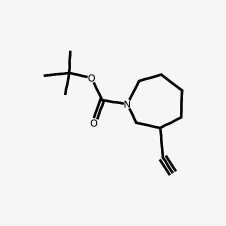 C#CC1CCCCN(C(=O)OC(C)(C)C)C1